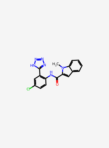 Cn1c(C(=O)Nc2ccc(Cl)cc2-c2nnn[nH]2)cc2ccccc21